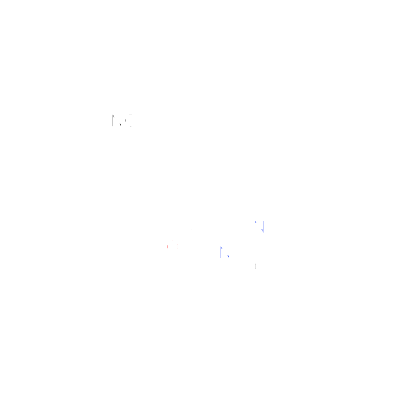 N#C/C=C/c1ccc2c(c1)C(=O)c1nc(C(F)(F)F)ncc1-2